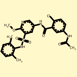 COc1ncc(NC(=O)c2cc(NC(C)=O)ccc2Cl)cc1S(=O)(=O)Nc1c(C)cccc1C